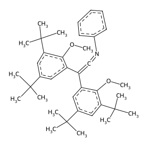 COc1c(C(=C=Nc2ccccc2)c2cc(C(C)(C)C)cc(C(C)(C)C)c2OC)cc(C(C)(C)C)cc1C(C)(C)C